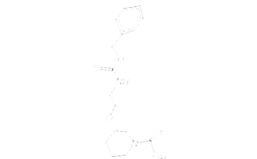 O=C(NCCO[C@H]1CCCN(C(=O)O)C1)OCc1ccccc1